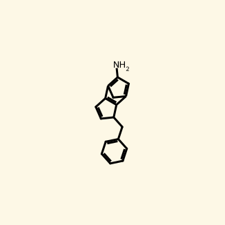 NC1=C2CC(=C1)C1=C2C=CC1Cc1ccccc1